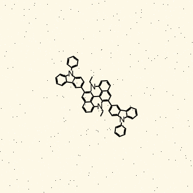 CCn1c2c(-c3ccc4c(c3)c3ccccc3n4-c3ccccc3)cc3cccc4c3c2-c2c3c(cccc31)cc(-c1ccc3c(c1)c1ccccc1n3-c1ccccc1)c2n4CC